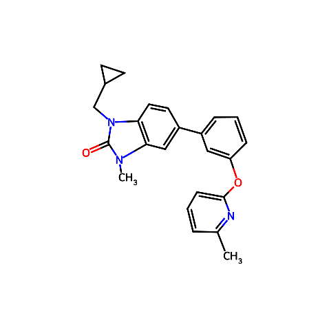 Cc1cccc(Oc2cccc(-c3ccc4c(c3)n(C)c(=O)n4CC3CC3)c2)n1